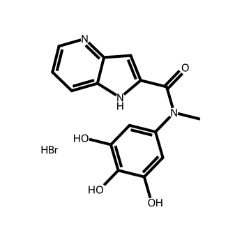 Br.CN(C(=O)c1cc2ncccc2[nH]1)c1cc(O)c(O)c(O)c1